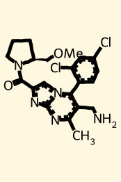 COC[C@@H]1CCCN1C(=O)c1cn2c(-c3ccc(Cl)cc3Cl)c(CN)c(C)nc2n1